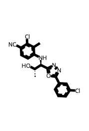 Cc1c(N[C@@H](c2nnc(-c3cccc(Cl)c3)o2)[C@H](C)O)ccc(C#N)c1Cl